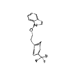 FC(F)(F)c1ccc(CCOn2ccc3ccccc32)cc1